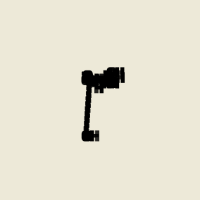 CCOP(=O)(C[C@@H](O)CNCC1CNc2c1nc(O)[nH]c2=O)OCCCCCCCCCCCCCCCCCCCCCO